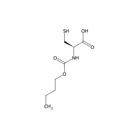 CCCCOC(=O)N[C@@H](CS)C(=O)O